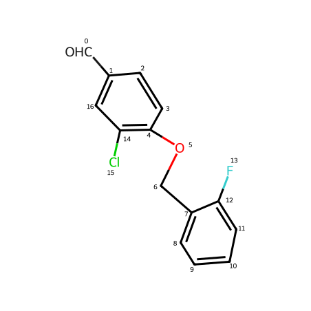 O=Cc1ccc(OCc2ccccc2F)c(Cl)c1